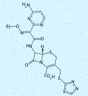 CCON=C(C(=O)NC1C(=O)N2C(C(=O)O)=C(CSc3nncs3)CS[C@@H]12)c1nccc(N)n1